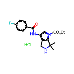 CCOC(=O)n1cc(NC(=O)c2ccc(F)cc2)c2c1C(C)(C)NC2.Cl